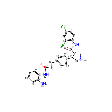 CN1CC(C(=O)Nc2ccc(Cl)cc2F)C(c2ccc(/C=C/C(=O)Nc3ccccc3N)cc2)C1